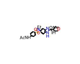 CCN(c1ccc2[nH]c(C(OC)(C(C)C)C3CCOCC3)nc2c1)S(=O)(=O)c1ccc(NC(C)=O)cc1